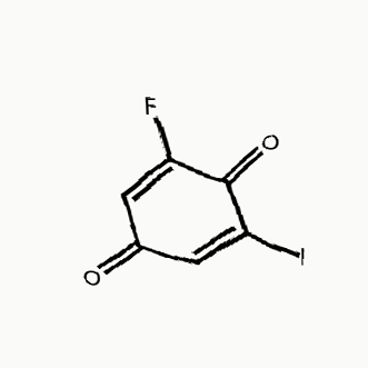 O=C1C=C(F)C(=O)C(I)=C1